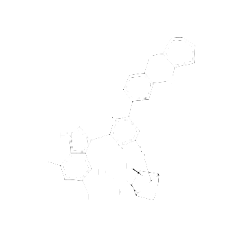 O=C(O)[C@@H]1C2CCC(CC2)[C@H]1Nc1cc(-c2ccc3c(c2)Oc2ccccc2S3)nc(-c2c[nH]c3c(F)cc(F)cc23)n1